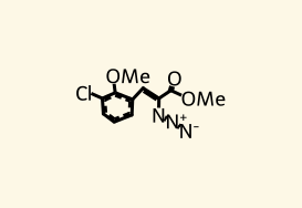 COC(=O)C(=Cc1cccc(Cl)c1OC)N=[N+]=[N-]